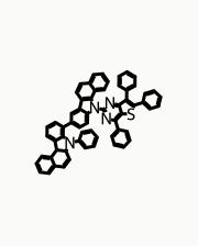 C1=CC2C(c3ccccc31)c1cccc(-c3ccc4c(c3)c3ccc5ccccc5c3n4-c3nc(-c4ccccc4)c4sc(-c5ccccc5)c(-c5ccccc5)c4n3)c1N2c1ccccc1